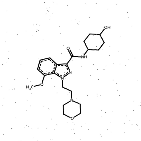 COc1cccc2c(C(=O)NC3CCC(O)CC3)nn(CCN3CCOCC3)c12